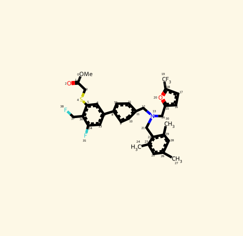 COC(=O)CSc1cc(-c2ccc(CN(Cc3ccc(C(F)(F)F)o3)Cc3c(C)cc(C)cc3C)cc2)cc(F)c1CF